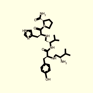 CC(C)[C@H](N)CN[C@@H](Cc1ccc(O)cc1)C(=O)N[C@H](CN[C@@H](Cc1c[nH]cn1)C(=O)N1CCC[C@H]1C(N)=O)C(C)C